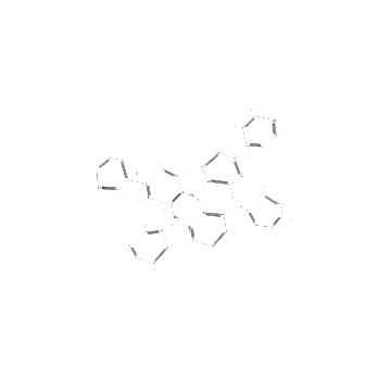 c1ccc(-c2ccc3c(c2)P(c2ccccc2)c2cccc4c2N3c2ccc(-c3ccccc3)cc2P4c2ccccc2)cc1